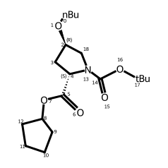 CCCCO[C@@H]1C[C@@H](C(=O)OC2CCCC2)N(C(=O)OC(C)(C)C)C1